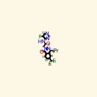 CC(C)c1nn(CC(=O)Nc2ncncc2F)c(=O)c2ccc(C(F)F)cc12